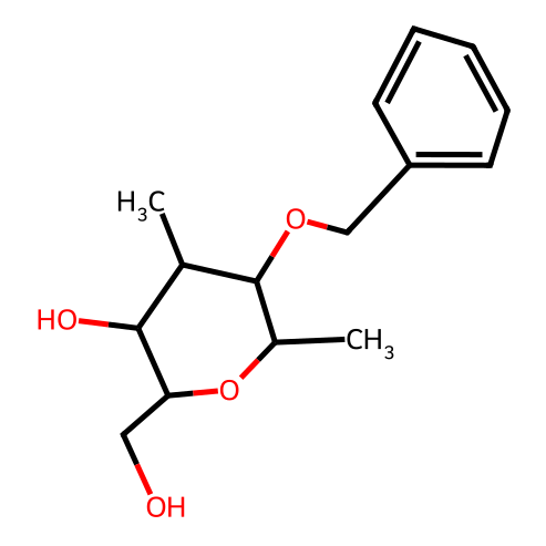 CC1OC(CO)C(O)C(C)C1OCc1ccccc1